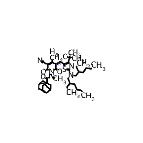 CCCCC(CC)CN(CC(CC)CCCC)c1nc(C(C)(C)C)c(/C=C2\C(=O)N(N(C)C(=O)C34CC5CC(CC(C5)C3)C4)C(=O)C(C#N)=C2C)s1